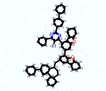 CCc1c(-c2ccccc2)nc(-c2ccc(-c3ccccc3)cc2)nc1-c1cc(-c2cc(CC3CCc4ccccc4-c4cc(-c5ccccc5)ccc43)cc3c2oc2ccccc23)cc2oc3ccccc3c12